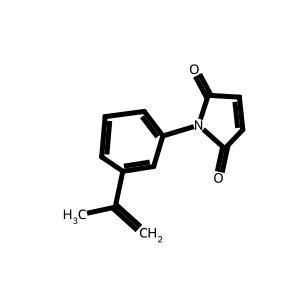 C=C(C)c1cccc(N2C(=O)C=CC2=O)c1